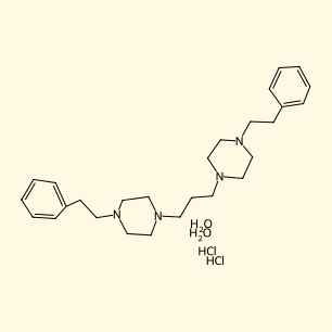 Cl.Cl.O.O.c1ccc(CCN2CCN(CCCN3CCN(CCc4ccccc4)CC3)CC2)cc1